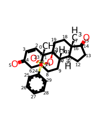 C[C@]12C=CC(=O)CC1CC[C@H]1[C@@H]3CCC(=O)[C@@]3(C)CC[C@]12OS(=O)c1ccccc1